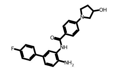 Nc1ccc(-c2ccc(F)cc2)cc1NC(=O)c1ccc(N2CCC(O)C2)cc1